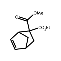 CCOC(=O)C1(C(=O)OC)CC2C=CC1C2